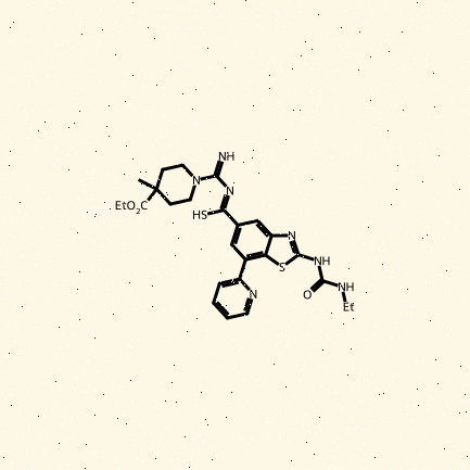 CCNC(=O)Nc1nc2cc(/C(S)=N/C(=N)N3CCC(C)(C(=O)OCC)CC3)cc(-c3ccccn3)c2s1